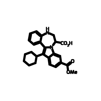 COC(=O)c1ccc2c(C3CCCCC3)c3n(c2c1)C(C(=O)O)CNc1ccccc1-3